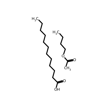 CCCCCCCCCCCC(=O)O.CCCCOC(C)=O